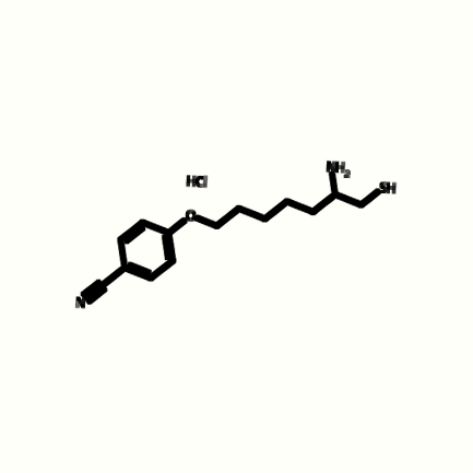 Cl.N#Cc1ccc(OCCCCCC(N)CS)cc1